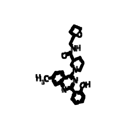 Cc1ccc2c(N3CCCC(C(=O)NCC4CCCO4)C3)nc(-c3ccccc3O)nc2c1